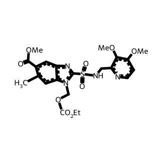 CCOC(=O)OCn1c(S(=O)(=O)NCc2nccc(OC)c2OC)nc2cc(C(=O)OC)c(C)cc21